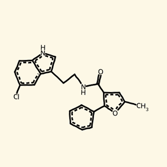 Cc1cc(C(=O)NCCc2c[nH]c3ccc(Cl)cc23)c(-c2ccccc2)o1